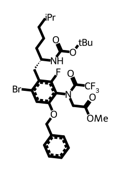 COC(=O)CN(C(=O)C(F)(F)F)c1c(OCc2ccccc2)cc(Br)c(C[C@H](CCCC(C)C)NC(=O)OC(C)(C)C)c1F